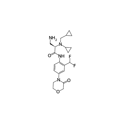 NC[C@H](C(=O)Nc1ccc(N2CCOCC2=O)cc1C(F)F)N(CC1CC1)C1CC1